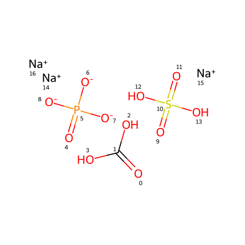 O=C(O)O.O=P([O-])([O-])[O-].O=S(=O)(O)O.[Na+].[Na+].[Na+]